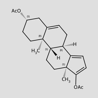 CC(=O)OC1=CC=C2[C@@H]3CC=C4C[C@@H](OC(C)=O)CC[C@]4(C)[C@H]3CC[C@]12C